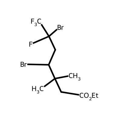 CCOC(=O)CC(C)(C)C(Br)CC(F)(Br)C(F)(F)F